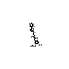 COc1cc(CNC(=O)CCCc2ccc(-c3cccnc3)s2)ccc1O